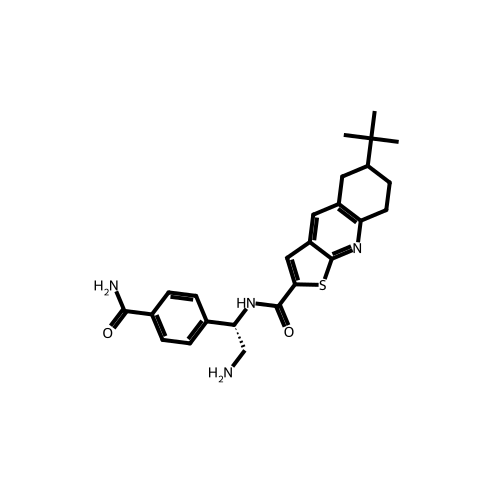 CC(C)(C)C1CCc2nc3sc(C(=O)N[C@H](CN)c4ccc(C(N)=O)cc4)cc3cc2C1